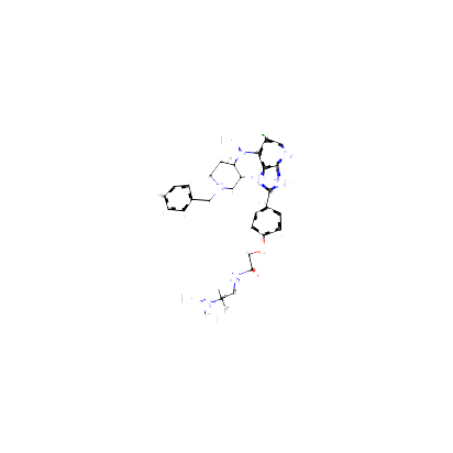 CN(c1c(Cl)cnc2[nH]c(-c3ccc(OCC(=O)NCC(C)(C)N(C)C)cc3)nc12)C1CCN(Cc2ccccc2)CC1